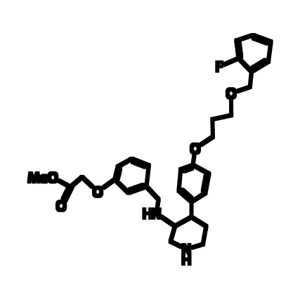 COC(=O)COc1cccc(CNC2CNCCC2c2ccc(OCCCOCc3ccccc3F)cc2)c1